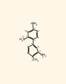 Cc1ccc(-c2cnc(N)nc2N)cc1N